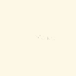 CCOC(=O)COC1CCC(NC(=O)C(=O)c2c(C)c(C(=O)Nc3ccc(F)c(C)c3)c(C)n2C)CC1